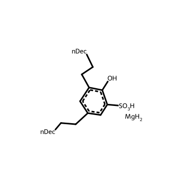 CCCCCCCCCCCCc1cc(CCCCCCCCCCCC)c(O)c(S(=O)(=O)O)c1.[MgH2]